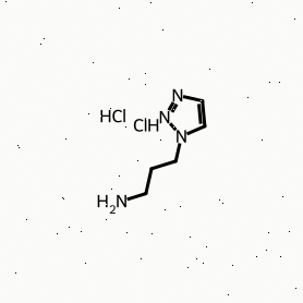 Cl.Cl.NCCCn1ccnn1